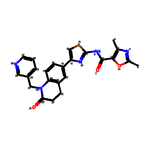 Cc1nc(C)c(C(=O)Nc2nc(-c3ccc4c(c3)CCC(=O)N4Cc3cccnc3)cs2)o1